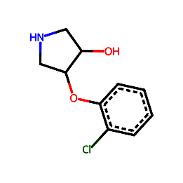 OC1CNCC1Oc1ccccc1Cl